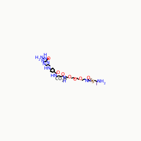 Nc1nc2ncc(CNc3ccc(C(=O)NC(CCC(=O)NCCOCCOCCOCCNC(=O)CSSCC(N)I)C(=O)O)cc3)nc2c(=O)[nH]1